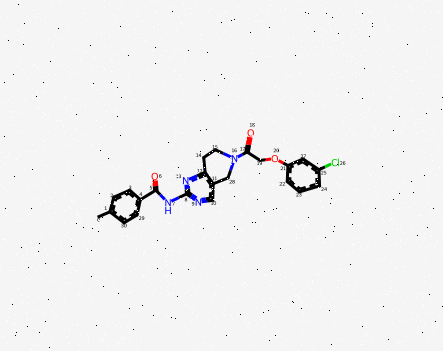 Cc1ccc(C(=O)Nc2ncc3c(n2)CCN(C(=O)COc2cccc(Cl)c2)C3)cc1